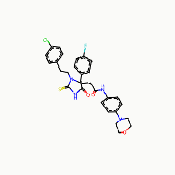 O=C(CC1(c2ccc(F)cc2)C(=O)NC(=S)N1CCc1ccc(Cl)cc1)Nc1ccc(N2CCOCC2)cc1